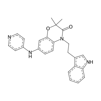 CC1(C)Oc2cc(Nc3ccncc3)ccc2N(CCc2c[nH]c3ccccc23)C1=O